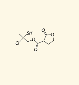 CC(S)(Cl)COC(=O)C1CCOC1=O